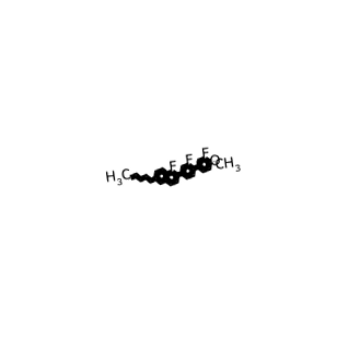 CCCCCCc1ccc2c(F)c(-c3ccc(-c4ccc(OC)c(F)c4)c(F)c3)ccc2c1